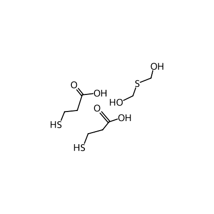 O=C(O)CCS.O=C(O)CCS.OCSCO